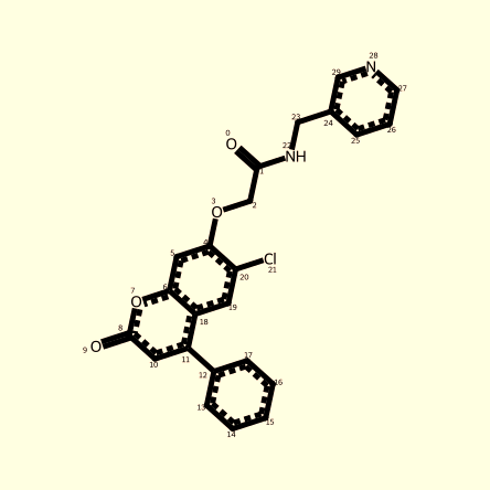 O=C(COc1cc2oc(=O)cc(-c3ccccc3)c2cc1Cl)NCc1cccnc1